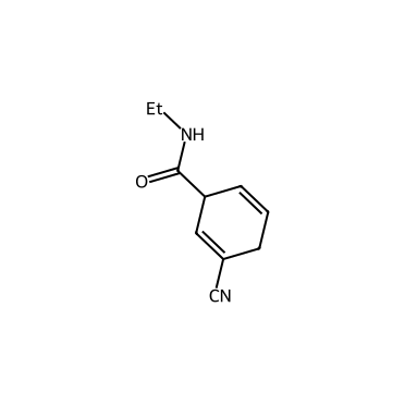 CCNC(=O)C1C=CCC(C#N)=C1